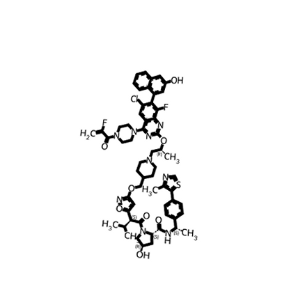 C=C(F)C(=O)N1CCN(c2nc(O[C@H](C)CN3CCC(COc4cc([C@@H](C(=O)N5C[C@H](O)C[C@H]5C(=O)N[C@@H](C)c5ccc(-c6scnc6C)cc5)C(C)C)on4)CC3)nc3c(F)c(-c4cc(O)cc5ccccc45)c(Cl)cc23)CC1